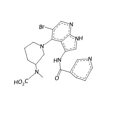 CN(C(=O)O)C1CCCN(c2c(Br)cnc3[nH]cc(NC(=O)c4cccnc4)c23)C1